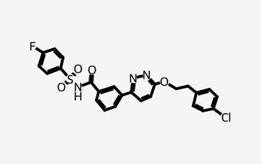 O=C(NS(=O)(=O)c1ccc(F)cc1)c1cccc(-c2ccc(OCCc3ccc(Cl)cc3)nn2)c1